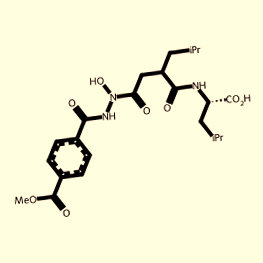 COC(=O)c1ccc(C(=O)NN(O)C(=O)CC(CC(C)C)C(=O)N[C@@H](CC(C)C)C(=O)O)cc1